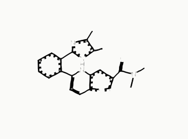 Cc1nc(-c2ccccc2C2=C=Cc3ccc(C(=O)N(C)C)cc3N2)[nH]c1C